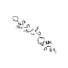 Cc1c(C(=O)Nc2ccc(Oc3ccnc(NC(=O)CN)c3)c(F)c2)c(=O)n(-c2ccccc2)n1C